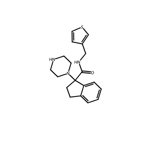 O=C(NCc1ccsc1)C1(N2CCNCC2)CCc2ccccc21